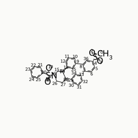 CS(=O)(=O)c1cccc(-c2cccc([C@@H]3CN(S(=O)(=O)c4ccccc4)CC[C@H]3c3ccccc3)c2)c1